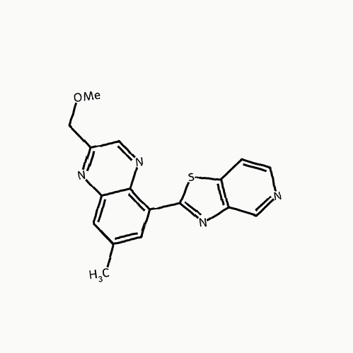 COCc1cnc2c(-c3nc4cnccc4s3)cc(C)cc2n1